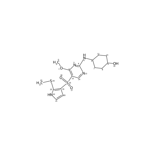 COc1nc(NC2CCC(O)CC2)ncc1S(=O)(=O)c1cc[nH]c1SC